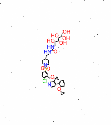 O=C(NCCC1CCN(S(=O)(=O)c2ccc(Cl)c(COC3(c4cnccc4-c4ccccc4OC4CC4)CC3)c2)CC1)NCC(O)C(O)C(O)C(O)CO